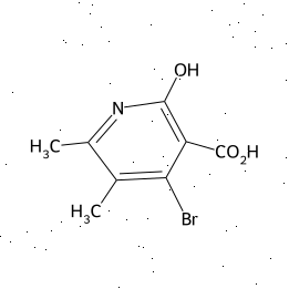 Cc1nc(O)c(C(=O)O)c(Br)c1C